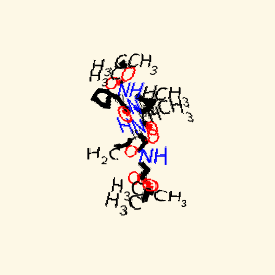 C=CCC[C@H](NC(=O)[C@@H]1[C@@H]2[C@H](CN1C(=O)[C@@H](NC(=O)OC(C)(C)C)C1CCCCC1)C2(C)C)C(=O)C(=O)NCCC(=O)OC(C)(C)CC